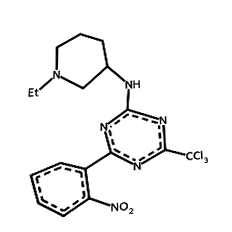 CCN1CCCC(Nc2nc(-c3ccccc3[N+](=O)[O-])nc(C(Cl)(Cl)Cl)n2)C1